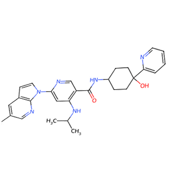 CC(C)Nc1cc(-n2ccc3cc(C#N)cnc32)ncc1C(=O)NC1CCC(O)(c2ccccn2)CC1